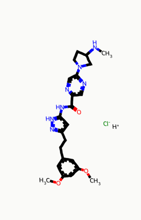 CNC1CCN(c2cnc(C(=O)Nc3cc(CCc4cc(OC)cc(OC)c4)n[nH]3)cn2)C1.[Cl-].[H+]